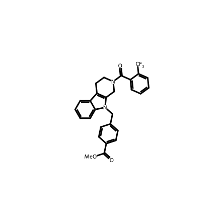 COC(=O)c1ccc(Cn2c3c(c4ccccc42)CCN(C(=O)c2ccccc2C(F)(F)F)C3)cc1